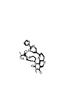 C[C@H](O)C(=O)N1CCC(n2c(=O)[nH]c(=O)c3cnc4ccc(-c5cnc(-n6cccn6)nc5)nc4c32)CC1